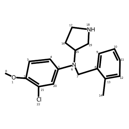 COc1ccc(N(Cc2ccccc2C)C2CCNC2)cc1Cl